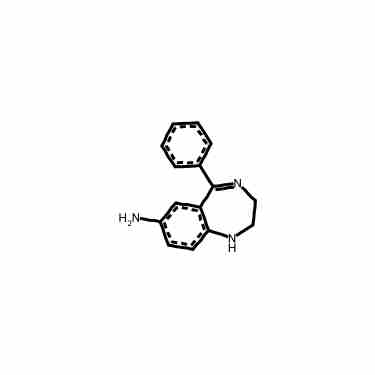 Nc1ccc2c(c1)C(c1ccccc1)=NCCN2